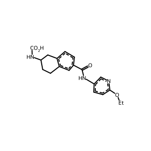 CCOc1ccc(NC(=O)c2ccc3c(c2)CCC(NC(=O)O)C3)cn1